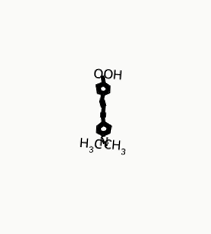 CN(C)c1ccc(C#CC#Cc2ccc(C(=O)O)cc2)cc1